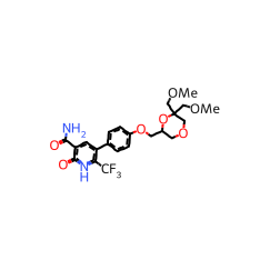 COCC1(COC)COCC(COc2ccc(-c3cc(C(N)=O)c(=O)[nH]c3C(F)(F)F)cc2)O1